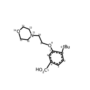 CC(C)(C)c1ccc(C(=O)O)cc1OCCN1CCOCC1